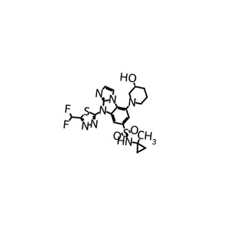 CC1(NS(=O)(=O)c2cc(N3CCC[C@H](O)C3)c3c(c2)n(-c2nnc(C(F)F)s2)c2nccn32)CC1